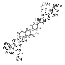 COC[C@H]1C[C@@H](c2ncc(-c3ccc4c(c3)COc3cc5c(ccc6nc([C@@H]7C[C@H](COC(F)F)CN7C(=O)[C@@H](NC(=O)OC)C(C)C)[nH]c65)cc3-4)[nH]2)N(C(=O)C(NC(=O)OC)C(C)C)C1